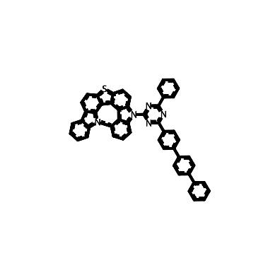 c1ccc(-c2ccc(-c3ccc(-c4nc(-c5ccccc5)nc(-n5c6ccc7sc8ccc9c%10ccccc%10n%10c%11cccc5c%11c6c7c8c9%10)n4)cc3)cc2)cc1